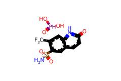 NS(=O)(=O)c1cc2c[c]c(=O)[nH]c2cc1C(F)(F)F.O=[PH](O)O